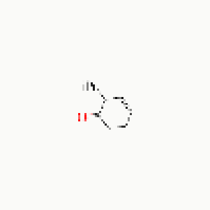 CC(C)C1C=CCCC1=O